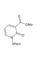 CCCCCn1cccc(C(=O)OC)c1=O